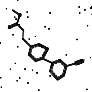 COC(=O)CCc1ccc(-c2cccc(C#N)c2)cc1